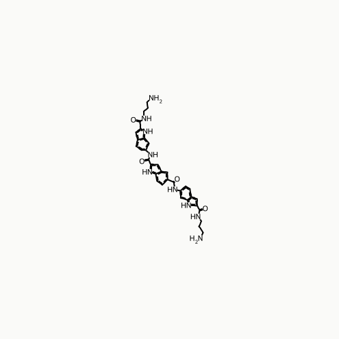 NCCCNC(=O)c1cc2ccc(NC(=O)c3ccc4[nH]c(C(=O)Nc5ccc6cc(C(=O)NCCCN)[nH]c6c5)cc4c3)cc2[nH]1